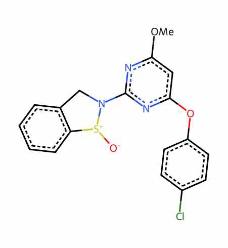 COc1cc(Oc2ccc(Cl)cc2)nc(N2Cc3ccccc3[S+]2[O-])n1